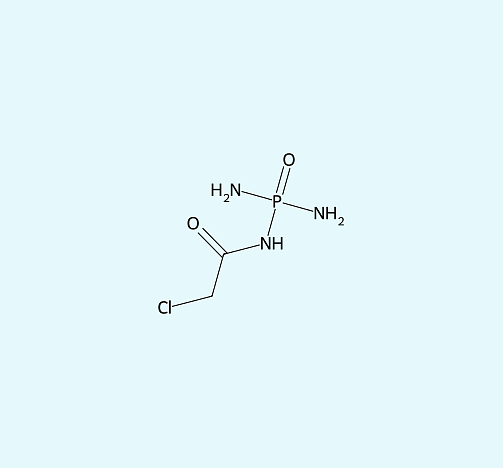 NP(N)(=O)NC(=O)CCl